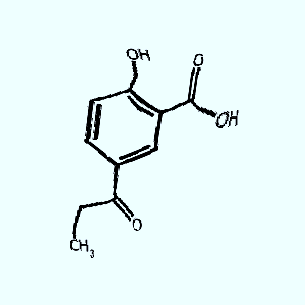 CCC(=O)c1ccc(O)c(C(=O)O)c1